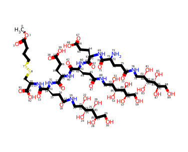 COC(=O)CCCSSC[C@@H](NC(=O)[C@H](CCC(=O)NC[C@H](O)[C@@H](O)[C@H](O)[C@H](O)CO)NC(=O)[C@@H](CCC(=O)O)NC(=O)[C@H](CCC(=O)NC[C@H](O)[C@@H](O)[C@H](O)[C@H](O)CO)NC(=O)[C@@H](CCC(=O)O)NC(=O)[C@@H](N)CCC(=O)NC[C@H](O)[C@@H](O)[C@H](O)[C@H](O)CO)C(=O)O